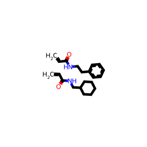 C=CC(=O)NCC1CCCCC1.C=CC(=O)NCCc1ccccc1